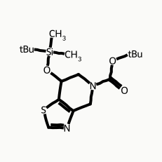 CC(C)(C)OC(=O)N1Cc2ncsc2C(O[Si](C)(C)C(C)(C)C)C1